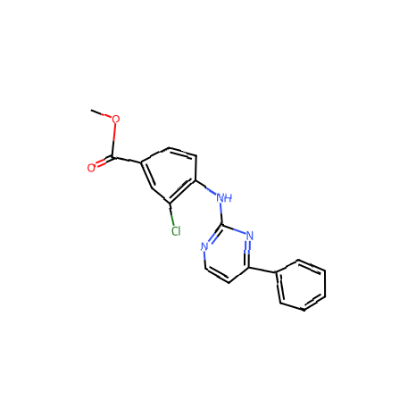 COC(=O)c1ccc(Nc2nccc(-c3ccccc3)n2)c(Cl)c1